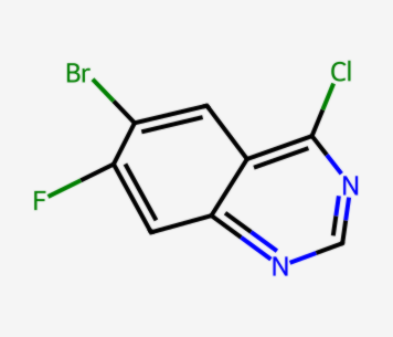 Fc1cc2ncnc(Cl)c2cc1Br